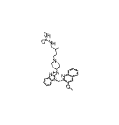 COc1cc2ccccc2nc1Cn1c(NC2CCN(CCC(C)CNC(=O)O)CC2)nc2ccccc21